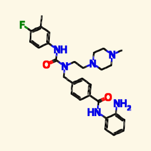 Cc1cc(NC(=O)N(CCN2CCN(C)CC2)Cc2ccc(C(=O)Nc3ccccc3N)cc2)ccc1F